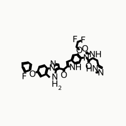 Cc1cc(Oc2ccccc2F)ccc1-n1ncc(C(=O)c2cc3cc(OCC(F)F)c(N4C(=O)NC(Cc5cnc[nH]5)C4=O)cc3[nH]2)c1N